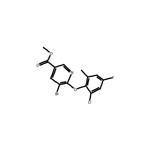 COC(=O)c1cnc(Oc2c(C)cc(F)cc2Cl)c(Br)c1